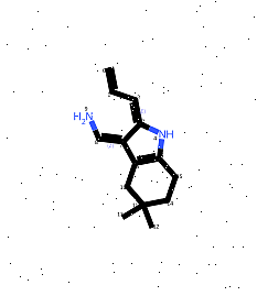 C=C/C=c1/[nH]c2c(/c1=C/N)CC(C)(C)CC2